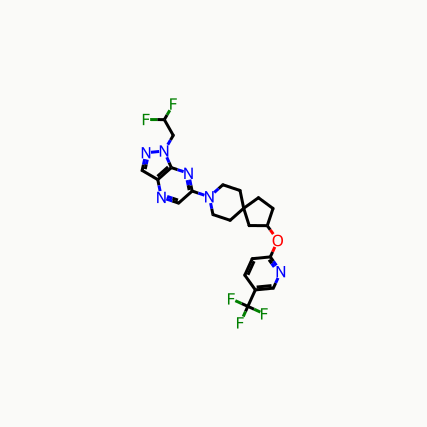 FC(F)Cn1ncc2ncc(N3CCC4(CCC(Oc5ccc(C(F)(F)F)cn5)C4)CC3)nc21